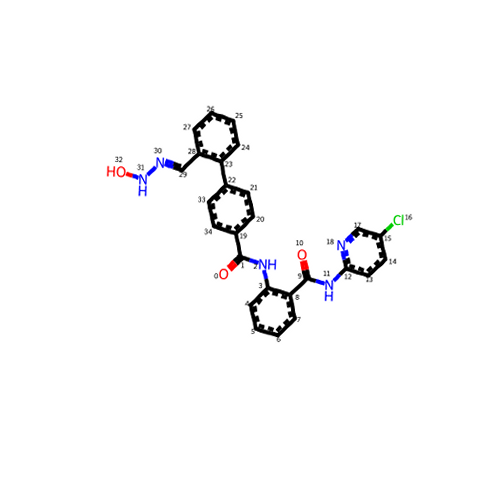 O=C(Nc1ccccc1C(=O)Nc1ccc(Cl)cn1)c1ccc(-c2ccccc2C=NNO)cc1